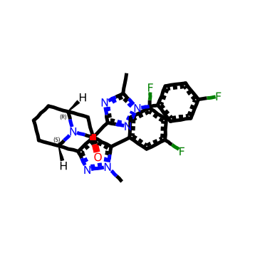 Cc1nc(C(=O)N2[C@@H]3CCC[C@H]2c2nn(C)c(-c4cc(F)cc(F)c4)c2C3)nn1-c1ccc(F)cc1